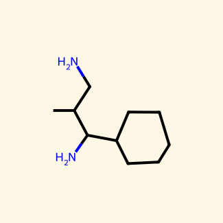 CC(CN)C(N)C1CCCCC1